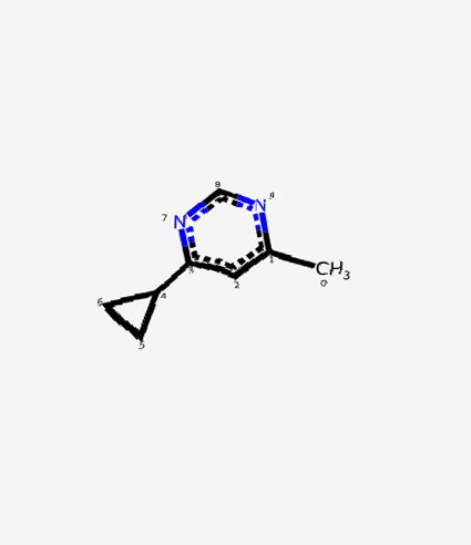 Cc1cc(C2CC2)n[c]n1